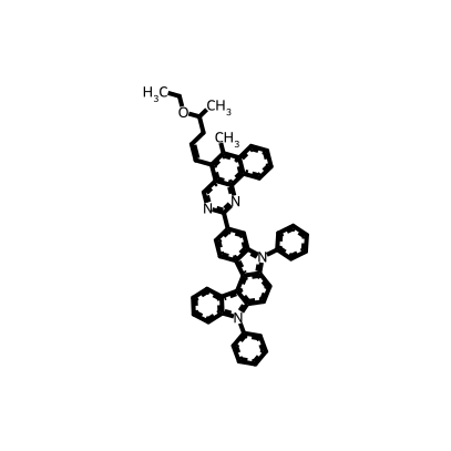 CCOC(C)C/C=C\c1c(C)c2ccccc2c2nc(-c3ccc4c5c6c7ccccc7n(-c7ccccc7)c6ccc5n(-c5ccccc5)c4c3)ncc12